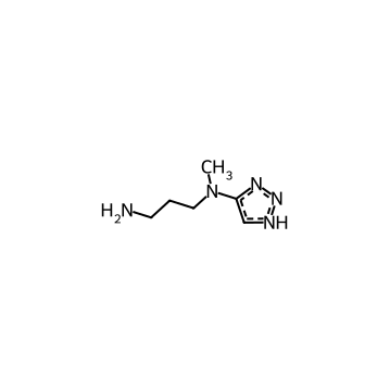 CN(CCCN)c1c[nH]nn1